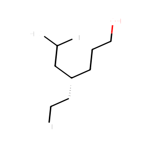 CCC[C@@H](CCCO)CC(C)C